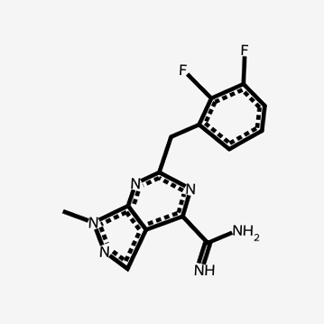 Cn1ncc2c(C(=N)N)nc(Cc3cccc(F)c3F)nc21